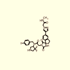 CNC(=O)Cn1cc(-c2ccc3c(c2)CC[C@]32NC(=O)N(CC(=O)N(Cc3ccc(F)cc3)C3CNCC3(F)F)C2=O)cn1